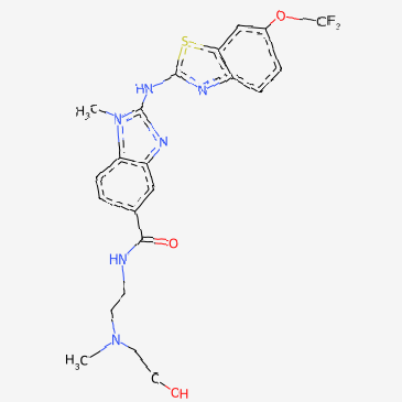 CN(CCO)CCNC(=O)c1ccc2c(c1)nc(Nc1nc3ccc(OC(F)(F)F)cc3s1)n2C